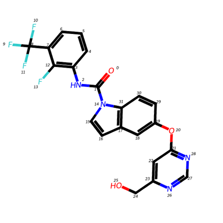 O=C(Nc1cccc(C(F)(F)F)c1F)n1ccc2cc(Oc3cc(CO)ncn3)ccc21